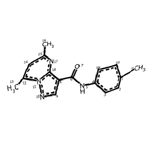 Cc1ccc(NC(=O)c2cnn3c(C)cc(C)nc23)cc1